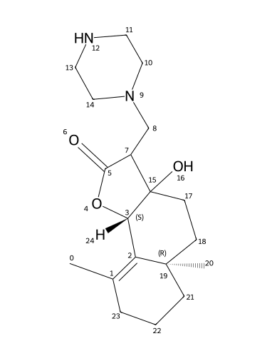 CC1=C2[C@@H]3OC(=O)C(CN4CCNCC4)C3(O)CC[C@@]2(C)CCC1